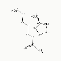 CCCCCCCCCCCCCCCC(N)=O.O=C(O)[C@@H]1CCCN1